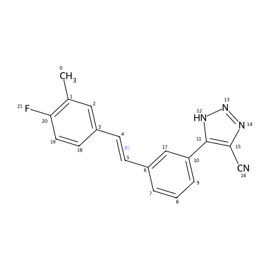 Cc1cc(/C=C/c2cccc(-c3[nH]nnc3C#N)c2)ccc1F